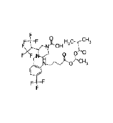 CC(OC(=O)CCCNc1cc(C(F)(F)F)ccc1CN1CCN(C(=O)O)CC1C(C(F)(F)F)C(F)(F)F)OC(=O)C(C)C